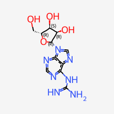 N=C(N)Nc1ncnc2c1ncn2[C@@H]1O[C@H](CO)[C@@H](O)[C@H]1O